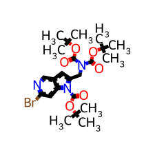 CC(C)(C)OC(=O)N(Cc1cc2cnc(Br)cc2n1C(=O)OC(C)(C)C)C(=O)OC(C)(C)C